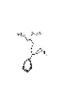 CC(CO)CCC(C)c1ccccc1